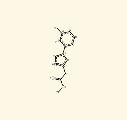 COC(=O)Cc1cn(-c2cccc(C)n2)cn1